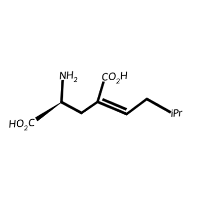 CC(C)C/C=C(/C[C@H](N)C(=O)O)C(=O)O